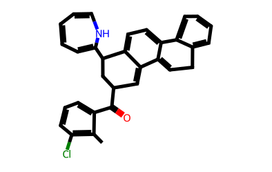 Cc1c(Cl)cccc1C(=O)C1C=c2c(ccc3c2=CCc2ccccc2-3)C(C2=CC=CC=CN2)C1